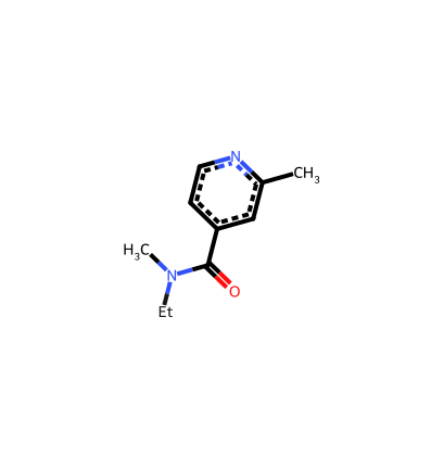 CCN(C)C(=O)c1ccnc(C)c1